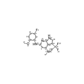 CNc1cc(Nc2cc(F)[c]cc2OC)nc2[nH]cc(C(F)(F)F)c12